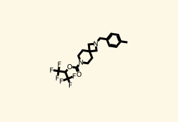 Cc1ccc(CN2CC3(CCN(C(=O)OC(C(F)(F)F)C(F)(F)F)CC3)C2)cc1